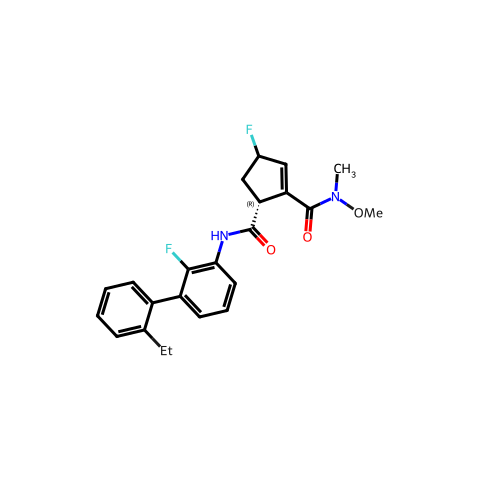 CCc1ccccc1-c1cccc(NC(=O)[C@@H]2CC(F)C=C2C(=O)N(C)OC)c1F